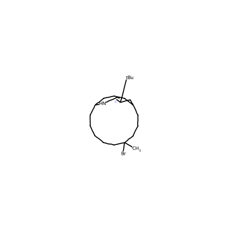 CC1(Br)CCCCCC2CCCC(CCC1)C/C(C(C)(C)C)=C\N2